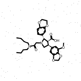 CCCCN(CCCC)C(=O)CN1C[C@H](c2cc(OC)c3c(c2)OCO3)[C@H](C(=O)O)[C@H]1c1ccc2c(c1)OCCO2